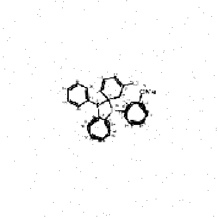 COc1ccccc1[C@H]1C(Cl)=CC=CC1(P(c1ccccc1)c1ccccc1)P(c1ccccc1)c1ccccc1